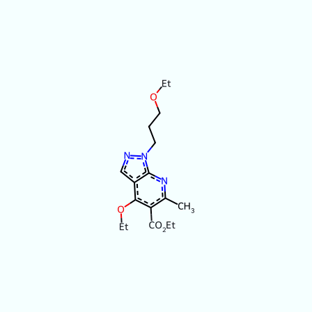 CCOCCCn1ncc2c(OCC)c(C(=O)OCC)c(C)nc21